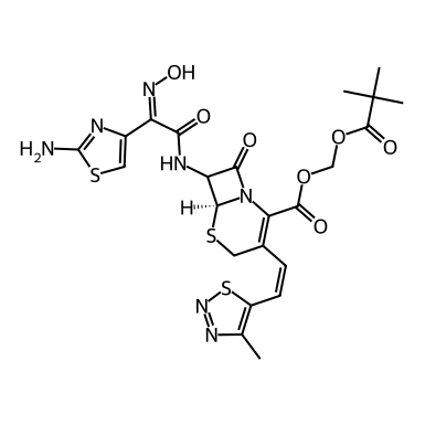 Cc1nnsc1/C=C\C1=C(C(=O)OCOC(=O)C(C)(C)C)N2C(=O)C(NC(=O)/C(=N\O)c3csc(N)n3)[C@@H]2SC1